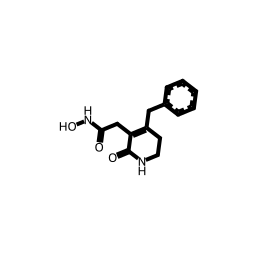 O=C(CC1=C(Cc2ccccc2)CCNC1=O)NO